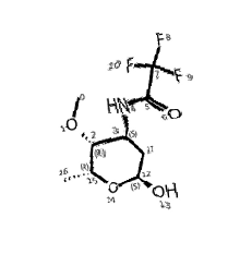 CO[C@@H]1[C@@H](NC(=O)C(F)(F)F)C[C@@H](O)O[C@@H]1C